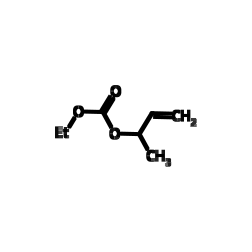 C=CC(C)OC(=O)OCC